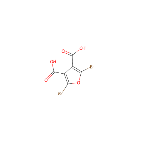 O=C(O)c1c(Br)oc(Br)c1C(=O)O